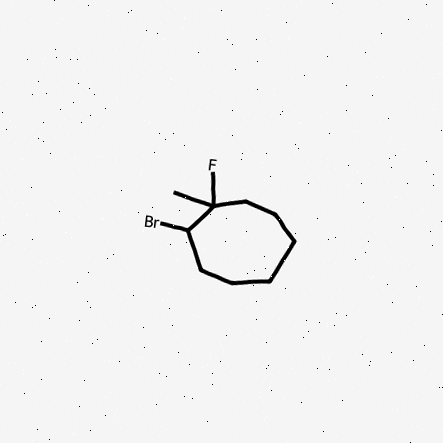 CC1(F)CCCCCCC1Br